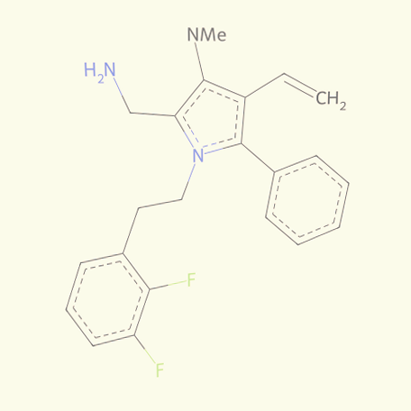 C=Cc1c(NC)c(CN)n(CCc2cccc(F)c2F)c1-c1ccccc1